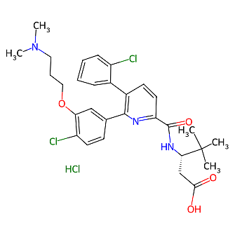 CN(C)CCCOc1cc(-c2nc(C(=O)N[C@@H](CC(=O)O)C(C)(C)C)ccc2-c2ccccc2Cl)ccc1Cl.Cl